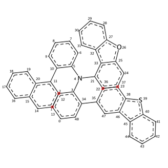 c1ccc(N(c2ccccc2-c2cccc3ccccc23)c2cccc3oc4ccccc4c23)c(-c2ccc3sc4ccccc4c3c2)c1